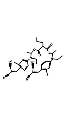 CCCC(C(=O)OC(C)N(CC)c1ccc(C=C(C#N)C#N)c(C)c1)C(=O)OC(C)N(CC)c1ccc(C=C(C#N)C#N)c(C)c1